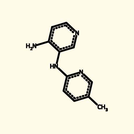 Cc1ccc(Nc2cnccc2N)nc1